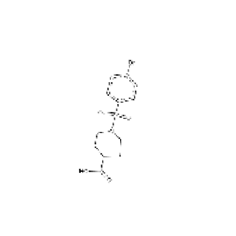 O=C(O)C1CCN(S(=O)(=O)c2ccc(Br)cc2)CC1